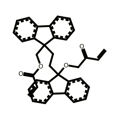 C=CC(=O)COC1(CCC2(COC(=O)C=C)c3ccccc3-c3ccccc32)c2ccccc2-c2ccccc21